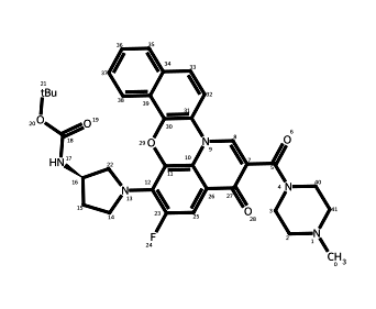 CN1CCN(C(=O)c2cn3c4c(c(N5CC[C@@H](NC(=O)OC(C)(C)C)C5)c(F)cc4c2=O)Oc2c-3ccc3ccccc23)CC1